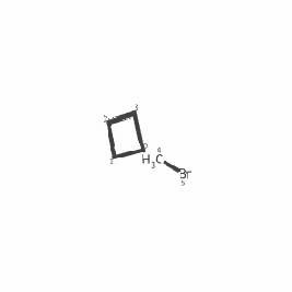 C1CCC1.CBr